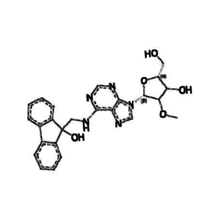 COC1C(O)[C@@H](CO)O[C@H]1n1cnc2c(NCC3(O)c4ccccc4-c4ccccc43)ncnc21